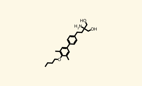 CCCCOc1c(C)cc(-c2ccc(CCC(N)(CO)CO)cc2)cc1C